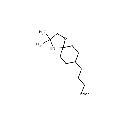 CCCCCCCCCCCCC1CCC2(CC1)NC(C)(C)CO2